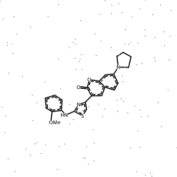 COc1ccccc1Nc1nc(-c2cc3ccc(N4CCCC4)cc3oc2=O)cs1